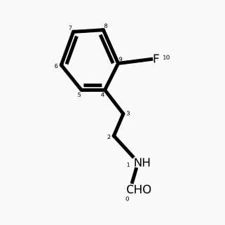 O=CNCCc1ccccc1F